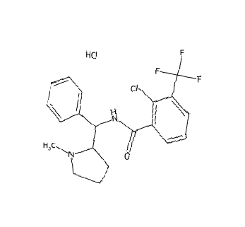 CN1CCCC1C(NC(=O)c1cccc(C(F)(F)F)c1Cl)c1ccccc1.Cl